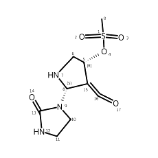 CS(=O)(=O)O[C@H]1CN[C@@H](N2CCNC2=O)C1=C=O